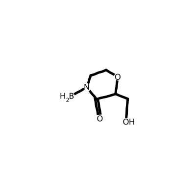 BN1CCOC(CO)C1=O